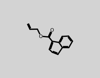 C=CCOC(=O)c1cccc2ccccc12